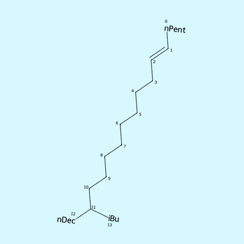 [CH2]CCCCC=CCCCCCCCCC(CCCCCCCCC[CH2])C(C)CC